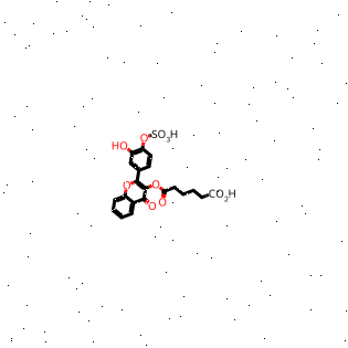 O=C(O)CCCCC(=O)Oc1c(-c2ccc(OS(=O)(=O)O)c(O)c2)oc2ccccc2c1=O